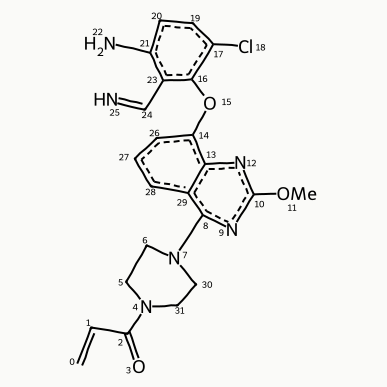 C=CC(=O)N1CCN(c2nc(OC)nc3c(Oc4c(Cl)ccc(N)c4C=N)cccc23)CC1